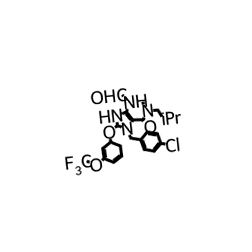 CC(C)CN(C)C(=O)C1=C(NC=O)NC(OC2C=C(OC(F)(F)F)C=CC2)N1Cc1ccc(Cl)cc1